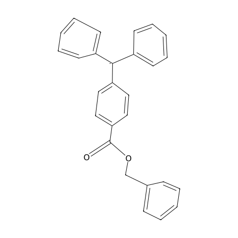 O=C(OCc1ccccc1)c1ccc([C](c2ccccc2)c2ccccc2)cc1